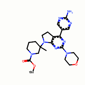 CC(C)(C)OC(=O)N1CCCC(C)(N2CCc3c(-c4cnc(N)nc4)nc(N4CCOCC4)nc32)C1